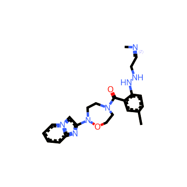 C/N=C\CNNc1ccc(C)cc1C(=O)N1CCON(c2cn3ccccc3n2)CC1